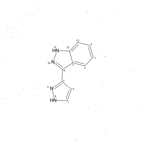 c1ccc2c(-c3cc[nH]n3)n[nH]c2c1